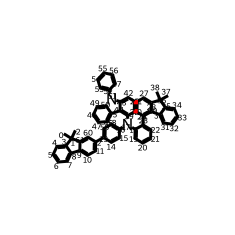 CC1(C)c2ccccc2-c2ccc(-c3ccc(N(c4ccccc4-c4cccc5c4-c4ccccc4C5(C)C)c4cccc5c4c4ccccc4n5-c4ccccc4)cc3)cc21